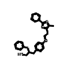 Cc1oc(-c2ccccc2)nc1CCOc1ccc(CC(CO)Sc2ccccc2)cc1